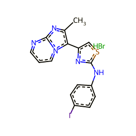 Br.Cc1nc2ncccn2c1-c1csc(Nc2ccc(I)cc2)n1